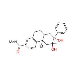 CCC12CC(C)(O)C(O)(c3ccccc3)CC1CCc1cc(C(=O)NC)ccc12